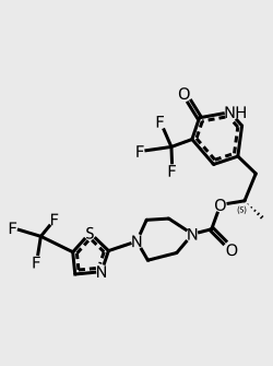 C[C@@H](Cc1c[nH]c(=O)c(C(F)(F)F)c1)OC(=O)N1CCN(c2ncc(C(F)(F)F)s2)CC1